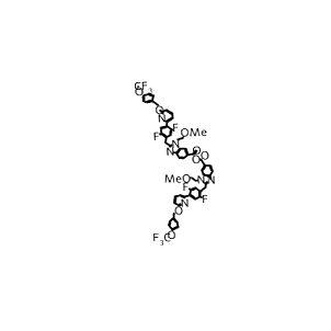 COCCn1c(Cc2cc(F)c(-c3cccc(OCc4ccc(OC(F)(F)F)cc4)n3)cc2F)nc2ccc(C(=O)OC(=O)c3ccc4nc(Cc5cc(F)c(-c6cccc(OCc7ccc(OC(F)(F)F)cc7)n6)cc5F)n(CCOC)c4c3)cc21